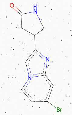 O=C1CC(c2cn3ccc(Br)cc3n2)CN1